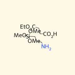 CCOC(=O)CCC(=O)O.CO[Si](CCCN)(OC)OC